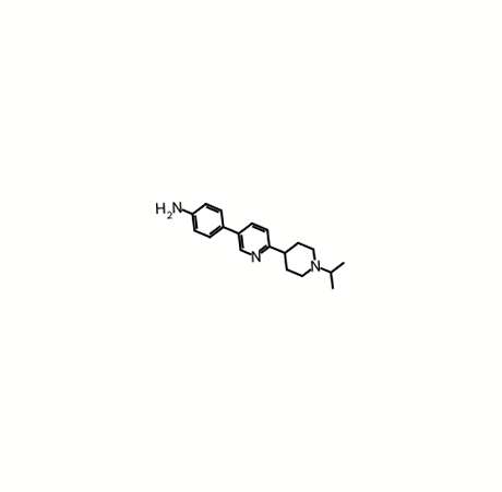 CC(C)N1CCC(c2ccc(-c3ccc(N)cc3)cn2)CC1